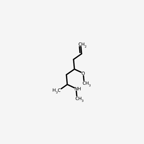 C=CCC(CC(C)NC)OC